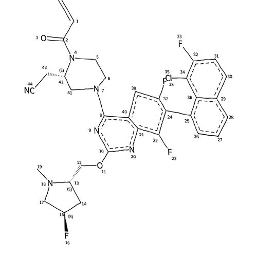 C=CC(=O)N1CCN(c2nc(OC[C@@H]3C[C@@H](F)CN3C)nc3c(F)c(-c4cccc5ccc(F)c(Cl)c45)c(F)cc23)C[C@@H]1CC#N